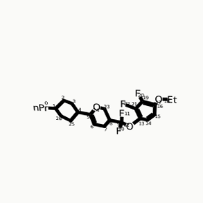 CCCC1CCC(C2=CCC(C(F)(F)Oc3ccc(OCC)c(F)c3F)CO2)CC1